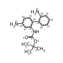 CC(C)(C)OC(=O)Nc1cc(N)ccc1-c1ccccc1N